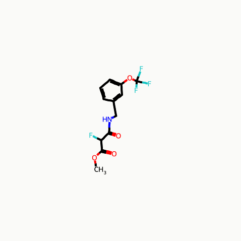 COC(=O)C(F)C(=O)NCc1cccc(OC(F)(F)F)c1